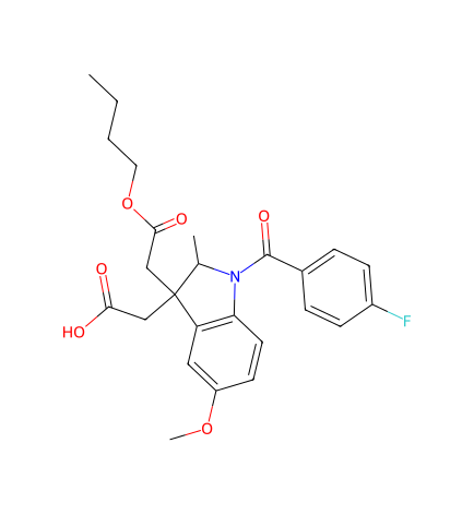 CCCCOC(=O)CC1(CC(=O)O)c2cc(OC)ccc2N(C(=O)c2ccc(F)cc2)C1C